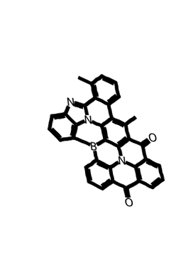 Cc1cccc2c1c1nc3cccc4c3n1c1c3c5c(c(C)c21)c(=O)c1cccc2c(=O)c6cccc(c6n5c21)B43